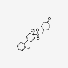 N#CC1(S(=O)(=O)CC2CCC(=O)CC2)C=CC(c2ccccc2F)=CC1